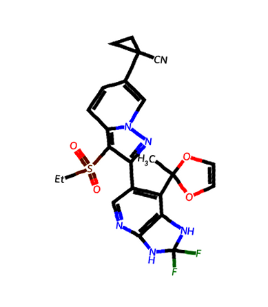 CCS(=O)(=O)c1c(-c2cnc3c(c2C2(C)OC=CO2)NC(F)(F)N3)nn2cc(C3(C#N)CC3)ccc12